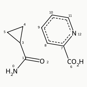 NC(=O)C1CC1.O=C(O)c1ccccn1